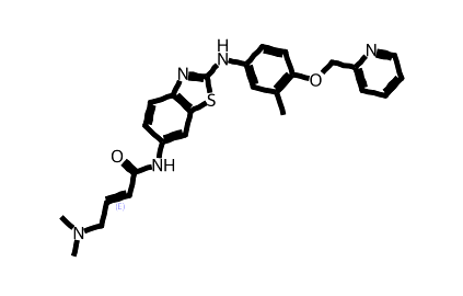 Cc1cc(Nc2nc3ccc(NC(=O)/C=C/CN(C)C)cc3s2)ccc1OCc1ccccn1